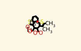 CCOc1sc2ccccc2c1C1=C(c2c(C)sc(C)c2C)C(=O)OC1=O